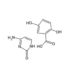 Nc1cc[nH]c(=O)n1.O=C(O)c1cc(O)ccc1O